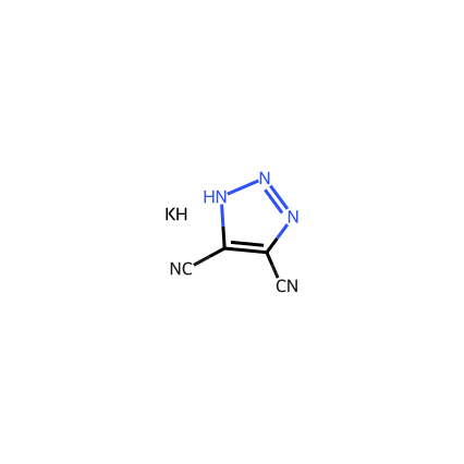 N#Cc1nn[nH]c1C#N.[KH]